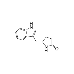 O=C1CCC(Cc2c[nH]c3ccccc23)N1